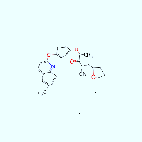 CC(Oc1ccc(Oc2ccc3cc(C(F)(F)F)ccc3n2)cc1)C(=O)C(C#N)CC1CCCO1